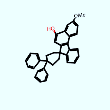 COc1ccc2c3c(cc(O)c2c1)C1(CCC(c2ccccc2)(c2ccccc2)CC1)c1ccccc1-3